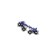 CN1/C(=C/C=C/C=C/C=C/C=C/C2=[N+](C)c3ccccc3C2(C)Cc2ccccc2)C(C)(Cc2ccccc2)c2ccccc21